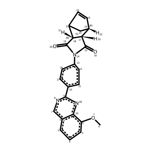 COc1cccc2cnc(-c3ccc(N4C(=O)[C@@H]5[C@H](C4=O)C4C=C[C@H]5C4)cc3)nc12